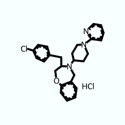 Cl.Clc1ccc(CC2COc3ccccc3CN2C2CCN(c3ccccn3)CC2)cc1